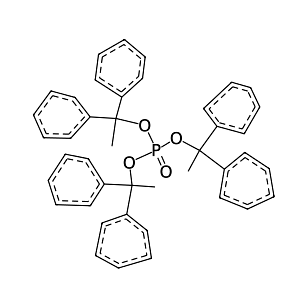 CC(OP(=O)(OC(C)(c1ccccc1)c1ccccc1)OC(C)(c1ccccc1)c1ccccc1)(c1ccccc1)c1ccccc1